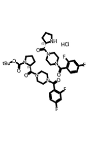 CC(C)(C)OC(=O)N1CCC[C@H]1C(=O)N1CCN(C(=O)c2ccc(F)cc2F)CC1.Cl.O=C(c1ccc(F)cc1F)N1CCN(C(=O)[C@@H]2CCCN2)CC1